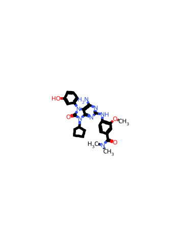 COc1cc(C(=O)N(C)C)ccc1Nc1nc(N)c2c(n1)n(C1CCCC1)c(=O)n2-c1cccc(O)c1